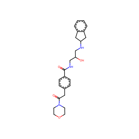 O=C(NCC(O)CNC1Cc2ccccc2C1)c1ccc(CC(=O)N2CCOCC2)cc1